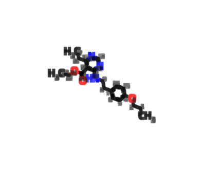 CCCOc1ccc(CCNc2ncnc(CC)c2C(=O)OCC)cc1